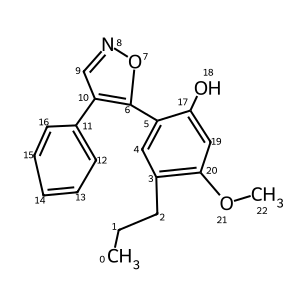 CCCc1cc(-c2oncc2-c2ccccc2)c(O)cc1OC